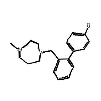 CN1CCCN(Cc2ccccc2-c2ccc(Cl)cc2)CC1